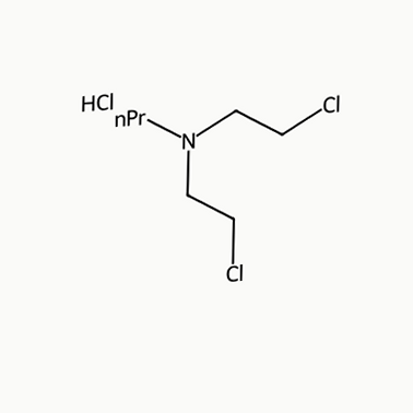 CCCN(CCCl)CCCl.Cl